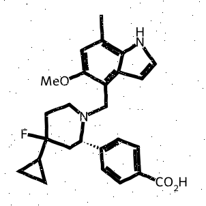 COc1cc(C)c2[nH]ccc2c1CN1CCC(F)(C2CC2)C[C@H]1c1ccc(C(=O)O)cc1